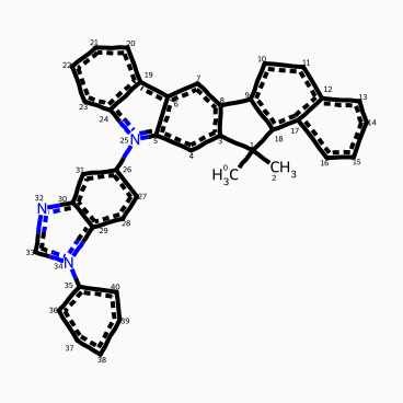 CC1(C)c2cc3c(cc2-c2ccc4ccccc4c21)c1ccccc1n3-c1ccc2c(c1)ncn2-c1ccccc1